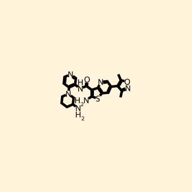 Cc1noc(C)c1-c1cnc2c(C(=O)Nc3cnccc3N3CCCC(N)C3)c(N)sc2c1